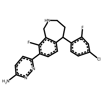 Nc1ccc(-c2ccc3c(c2F)CNCCC3c2ccc(Cl)cc2F)nn1